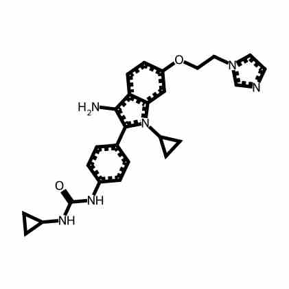 Nc1c(-c2ccc(NC(=O)NC3CC3)cc2)n(C2CC2)c2cc(OCCn3ccnc3)ccc12